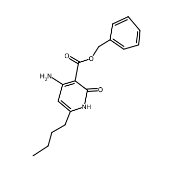 CCCCc1cc(N)c(C(=O)OCc2ccccc2)c(=O)[nH]1